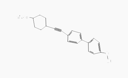 CCCCCCCCCC1CCC(C#Cc2ccc(-c3ccc(OCC)cc3)cc2)CC1